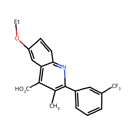 CCOc1ccc2nc(-c3cccc(C(F)(F)F)c3)c(C)c(C(=O)O)c2c1